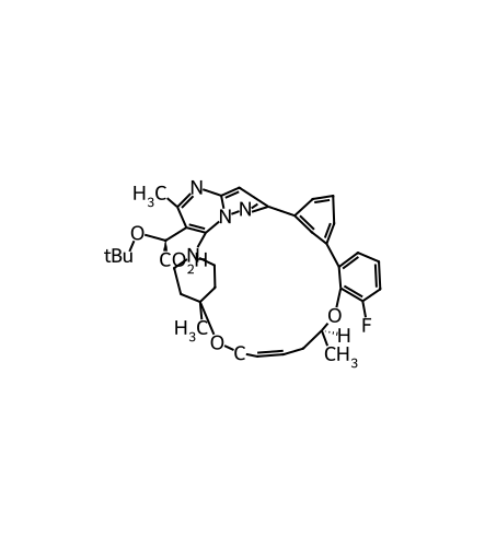 Cc1nc2cc3nn2c(c1[C@H](OC(C)(C)C)C(=O)O)N1CCC(C)(CC1)OCC=CC[C@H](C)Oc1c(F)cccc1-c1cccc-3c1